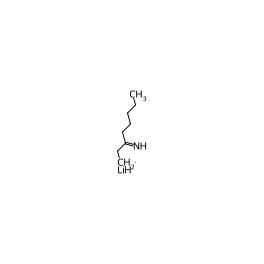 [CH2]CC(=N)CCCCC.[LiH]